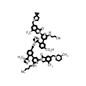 C[C@H]1CCCN(Cc2cc3c(c(C(F)(F)F)c2)CN(c2cc(-c4cc(C#[N+]n5cnnc5-c5ccc(C(=O)O)cc5-c5cc(NCCC#N)nc(N6Cc7c(cc(CN8CCC9(CC9)C8)cc7C(F)(F)F)C6=O)c5)ccc4-c4nncn4C)cc(NCCCC#N)n2)C3=O)C1